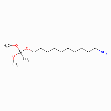 CO[Si](C)(OC)OCCCCCCCCCCN